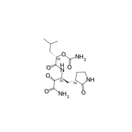 CC(C)C[C@H](OC(N)=O)C(=O)N[C@@H](C[C@@H]1CCNC1=O)C(=O)C(N)=O